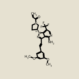 C=CC(=O)N1CC[C@H](n2nc(C#Cc3cc(OC)cc(OC)c3)c3c(N)ncc(C(F)(F)F)c32)C1